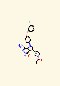 C=CC(=O)N1CC[C@H](c2cn(-c3ccc(Oc4cccc(F)c4)cc3)c3c(N)n[nH]c(=O)c23)C1